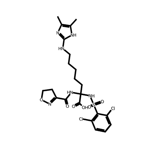 Cc1nc(NCCCCCC(NC(=O)C2=NOCC2)(NS(=O)(=O)c2c(Cl)cccc2Cl)C(=O)O)[nH]c1C